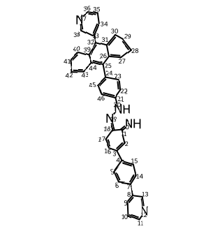 N=C1C=C(c2ccc(-c3cccnc3)cc2)C=C/C1=N/Nc1ccc(-c2c3ccccc3c(-c3cccnc3)c3ccccc23)cc1